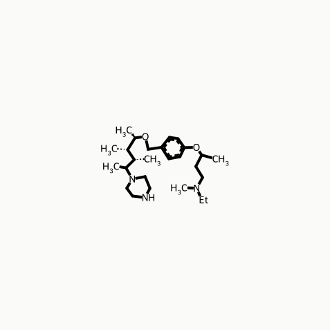 CCN(C)CCC(C)Oc1ccc(CO[C@H](C)[C@@H](C)[C@H](C)C(C)N2CCNCC2)cc1